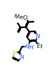 C=C(C)/C(=C(/C)OC)c1cnc(CC)c(NCc2nccs2)c1